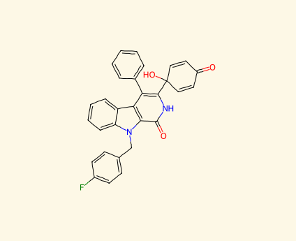 O=C1C=CC(O)(c2[nH]c(=O)c3c(c2-c2ccccc2)c2ccccc2n3Cc2ccc(F)cc2)C=C1